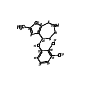 Cc1cc2c(o1)CNCCC2Oc1cccc(Cl)c1Cl